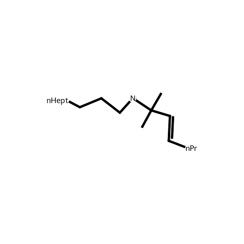 CCCC=CC(C)(C)[N]CCCCCCCCCC